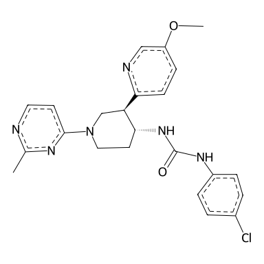 COc1ccc([C@@H]2CN(c3ccnc(C)n3)CC[C@H]2NC(=O)Nc2ccc(Cl)cc2)nc1